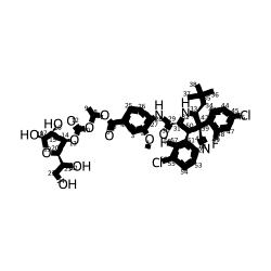 COc1cc(C(=O)OC(C)OC(=O)O[C@@H]2[C@@H](O)[C@@H](O)O[C@@H]2C(O)CO)ccc1NC(=O)[C@@H]1N[C@@H](CC(C)(C)C)[C@](C#N)(c2ccc(Cl)cc2F)[C@H]1c1cccc(Cl)c1F